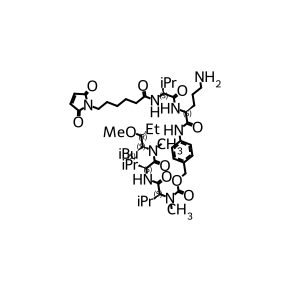 CC[C@H](C)[C@@H]([C@@H](CC)OC)N(C)C(=O)[C@@H](NC(=O)[C@H](C(C)C)N(C)C(=O)OCc1ccc(NC(=O)[C@H](CCCN)NC(=O)[C@@H](NC(=O)CCCCCN2C(=O)C=CC2=O)C(C)C)cc1)C(C)C